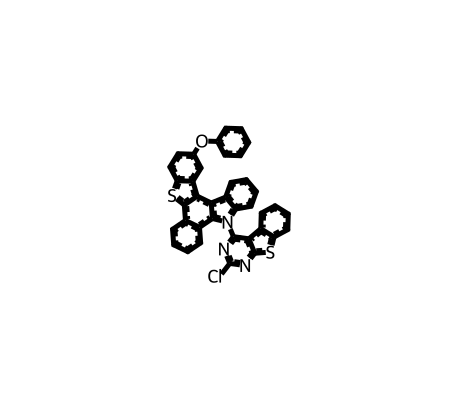 Clc1nc(-n2c3ccccc3c3c4c5cc(Oc6ccccc6)ccc5sc4c4ccccc4c32)c2c(n1)sc1ccccc12